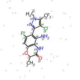 CC1Oc2cc(F)c(-c3nn(C)c(C(F)(F)F)c3Cl)c(N)c2NC1=O